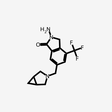 NN1Cc2c(cc(CN3CC4CC4C3)cc2C(F)(F)F)C1=O